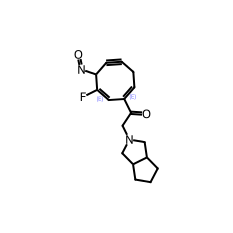 O=NC1C#CC/C=C(C(=O)CN2CC3CCCC3C2)\C=C/1F